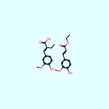 CC/C(=C\c1ccc(O)c(OC)c1)C(=O)O.CCOC(=O)/C=C/c1ccc(O)c(OC)c1